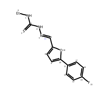 CCNC(=S)N/N=C/c1ccc(-c2ccc(F)cc2)o1